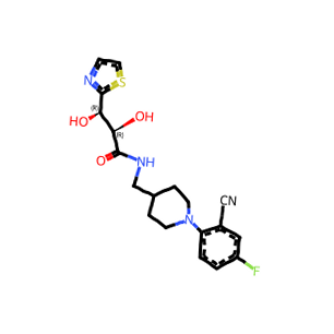 N#Cc1cc(F)ccc1N1CCC(CNC(=O)[C@H](O)[C@@H](O)c2nccs2)CC1